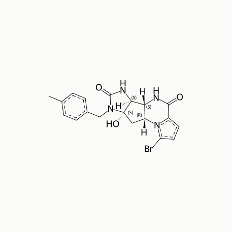 Cc1ccc(CN2C(=O)N[C@H]3[C@@H]4NC(=O)c5ccc(Br)n5[C@@H]4C[C@]32O)cc1